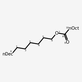 CCCCCCCCCCCCCCCCOC(=O)CCCCCCCC